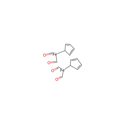 O=[CH][Fe]([CH]=O)[CH]1C=CC=C1.O=[CH][Fe]([CH]=O)[CH]1C=CC=C1